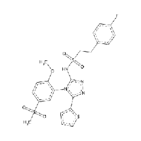 COc1ccc(S(C)(=O)=O)cc1-n1c(NS(=O)(=O)CCc2ccc(F)cc2)nnc1-c1cccs1